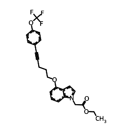 CCOC(=O)Cn1ccc2c(OCCCC#Cc3ccc(OC(F)(F)F)cc3)cccc21